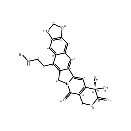 CCNCCc1c2c(nc3cc4c(cc13)OCO4)-c1cc3c(c(=O)n1C2)COC(=O)[C@]3(O)CC